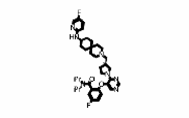 CC(C)N(C(=O)c1cc(F)ccc1Oc1cncnc1N1CC[C@@H](CN2CCC3(CCC(Nc4ccc(F)cn4)CC3)CC2)C1)C(C)C